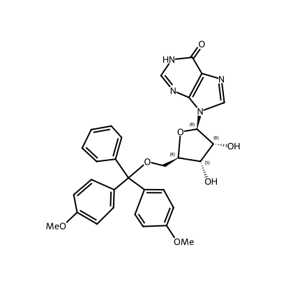 COc1ccc(C(OC[C@H]2O[C@@H](n3cnc4c(=O)[nH]cnc43)[C@H](O)[C@@H]2O)(c2ccccc2)c2ccc(OC)cc2)cc1